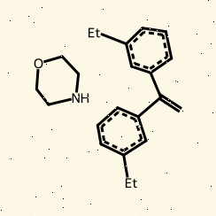 C1COCCN1.C=C(c1cccc(CC)c1)c1cccc(CC)c1